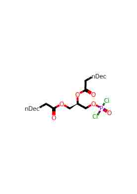 CCCCCCCCCCCC(=O)OC[C@H](COP(=O)(Cl)Cl)OC(=O)CCCCCCCCCCC